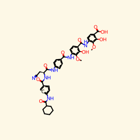 COc1c(NC(=O)c2ccc(NC(=O)c3ccc(NC(=O)[C@H](CC#N)NC(=O)c4ccc(NC(=O)C5CCCCC5)cc4)cc3)c(OC)c2O)ccc(C(=O)O)c1O